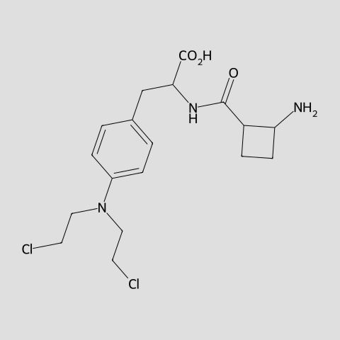 NC1CCC1C(=O)NC(Cc1ccc(N(CCCl)CCCl)cc1)C(=O)O